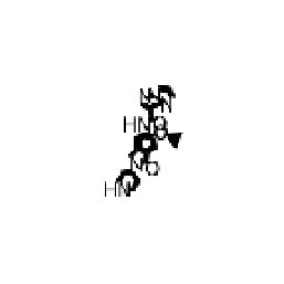 O=C(Nc1cc2c(cc1OC1CC1)C(=O)N(C1CCNCC1)C2)c1cnn2cccnc12